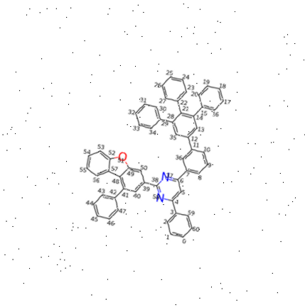 c1ccc(-c2cc(-c3cccc(-c4cc(-c5ccccc5)c(-c5ccccc5)c(-c5ccccc5)c4)c3)nc(-c3cc(-c4ccccc4)c4c(c3)oc3ccccc34)n2)cc1